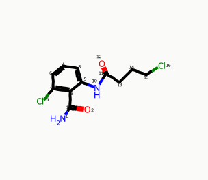 NC(=O)c1c(Cl)cccc1NC(=O)CCCCl